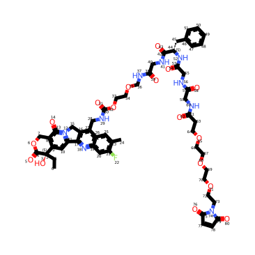 CC[C@@]1(O)C(=O)OCc2c1cc1n(c2=O)Cc2c-1nc1cc(F)c(C)cc1c2CNC(=O)OCCOCNC(=O)CNC(=O)[C@H](Cc1ccccc1)NC(=O)CNC(=O)CNC(=O)CCOCCOCCOCCN1C(=O)C=CC1=O